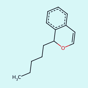 CCCCCC1OC=Cc2ccccc21